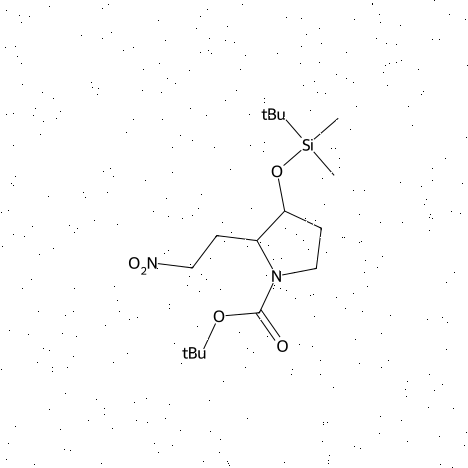 CC(C)(C)OC(=O)N1CCC(O[Si](C)(C)C(C)(C)C)C1CC[N+](=O)[O-]